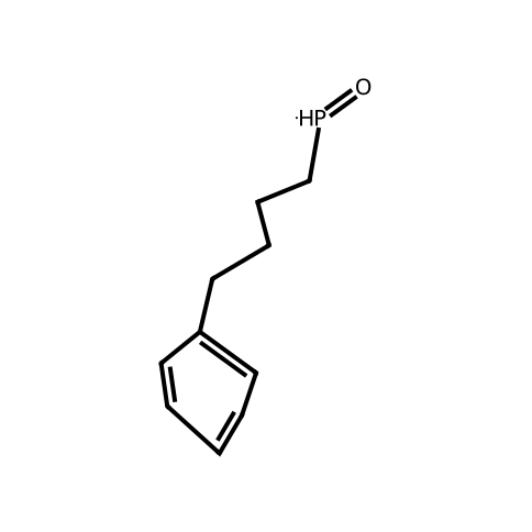 O=[PH]CCCCc1ccccc1